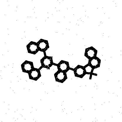 CC1(C)c2ccc(-c3ccc(-c4nc(-c5cccc6ccccc56)cc(-c5cccc6ccccc56)n4)c4ccccc34)cc2-c2c1ccc1ccccc21